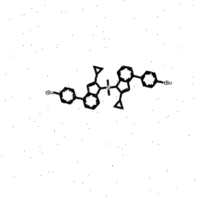 CC(C)(C)c1ccc(-c2cccc3c2C=C(C2CC2)C3[Si](C)(C)C2C(C3CC3)=Cc3c(-c4ccc(C(C)(C)C)cc4)cccc32)cc1